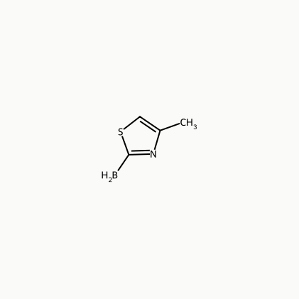 Bc1nc(C)cs1